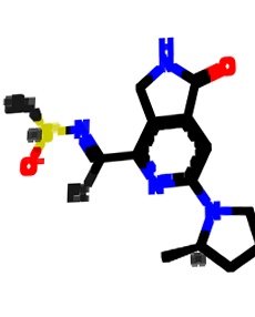 CCC(=N[S@@+]([O-])C(C)(C)C)c1nc(N2CCC[C@H]2C)cc2c1CNC2=O